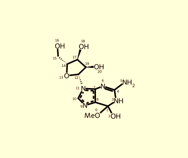 COC1(O)NC(N)=Nc2c1ncn2[C@@H]1O[C@H](CO)[C@@H](O)[C@H]1O